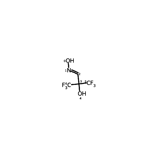 ON=CC(O)(C(F)(F)F)C(F)(F)F